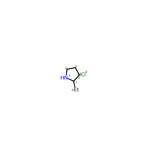 CCC1CCCN1.Cl